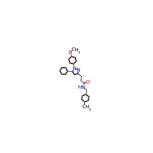 COc1ccc(-n2nc(CCC(=O)NCc3ccc(C)cc3)cc2-c2ccccc2)cc1